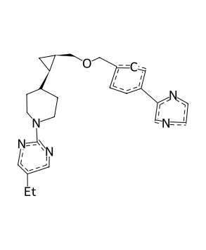 CCc1cnc(N2CCC([C@H]3C[C@H]3COCc3ccc(-c4cnccn4)cc3)CC2)nc1